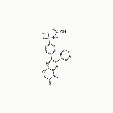 CN1C(=S)COc2nc(-c3ccc(C4(NC(=O)O)CCC4)cc3)c(-c3ccccc3)cc21